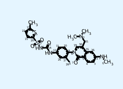 CNc1ccc2c(=O)n(-c3ccc(NC(=O)NS(=O)(=O)c4ccc(C)s4)cc3I)cc(CN(C)C)c2c1